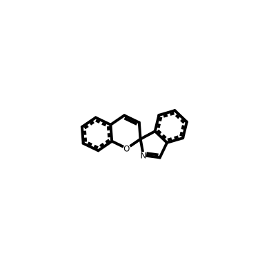 C1=CC2(N=Cc3ccccc32)Oc2ccccc21